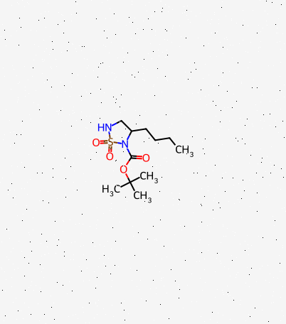 CCCCC1CNS(=O)(=O)N1C(=O)OC(C)(C)C